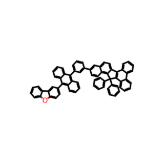 c1ccc(C2(c3ccccc3)c3c(ccc4cc(-c5cccc(-c6c7ccccc7c(-c7ccc8oc9ccccc9c8c7)c7ccccc67)c5)ccc34)-c3c2c2ccccc2c2ccccc32)cc1